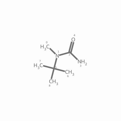 CN(C(N)=O)C(C)(C)C